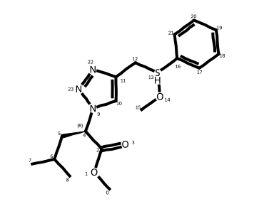 COC(=O)[C@@H](CC(C)C)n1cc(C[SH](OC)c2ccccc2)nn1